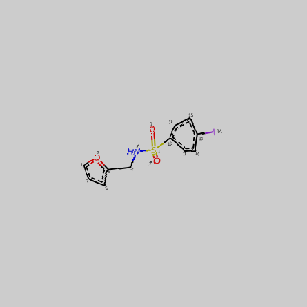 O=S(=O)(NCc1ccco1)c1ccc(I)cc1